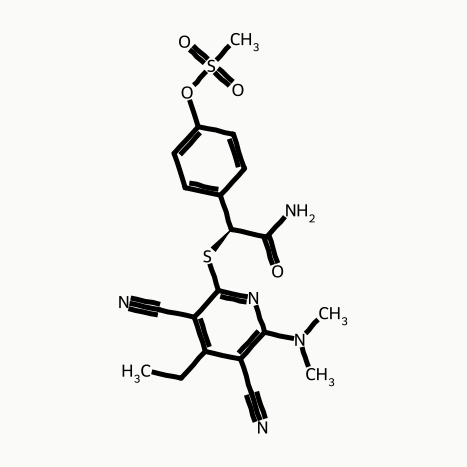 CCc1c(C#N)c(S[C@H](C(N)=O)c2ccc(OS(C)(=O)=O)cc2)nc(N(C)C)c1C#N